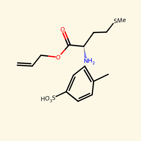 C=CCOC(=O)[C@@H](N)CCSC.Cc1ccc(S(=O)(=O)O)cc1